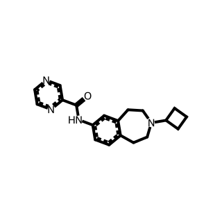 O=C(Nc1ccc2c(c1)CCN(C1CCC1)CC2)c1cnccn1